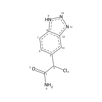 NC(=O)C(Cl)c1ccc2[nH]nnc2c1